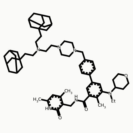 CCN(c1cc(-c2ccc(CN3CCN(CCN(CCC45CC6CC(CC(C6)C4)C5)CCC45CC6CC(CC(C6)C4)C5)CC3)cc2)cc(C(=O)NCc2c(C)cc(C)[nH]c2=O)c1C)C1CCOCC1